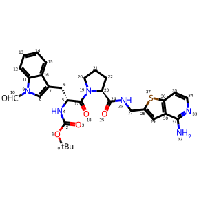 CC(C)(C)OC(=O)N[C@H](Cc1cn(C=O)c2ccccc12)C(=O)N1CCC[C@H]1C(=O)NCc1cc2c(N)nccc2s1